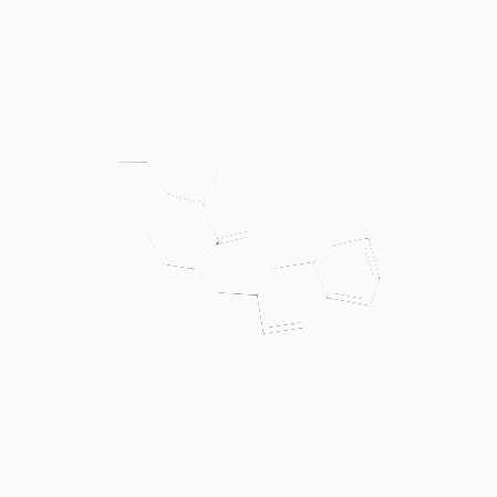 CCCN(C)C(=O)C(CC)Oc1ccc2ccccc2c1